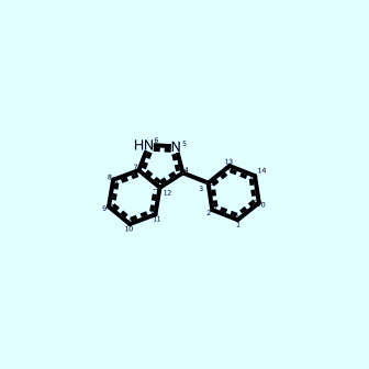 [c]1ccc(-c2n[nH]c3ccccc23)cc1